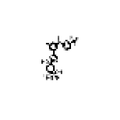 Cc1cc(Nc2nccc(C(F)(F)F)n2)cc(-c2cnc(C3(O)CCC(O)(P(=O)(O)O)CC3)s2)c1